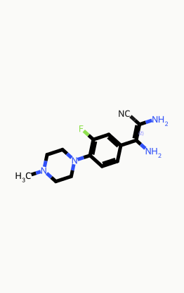 CN1CCN(c2ccc(/C(N)=C(/N)C#N)cc2F)CC1